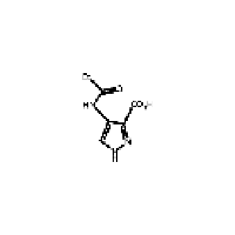 CCC(=O)Nc1c[nH]nc1C(=O)O